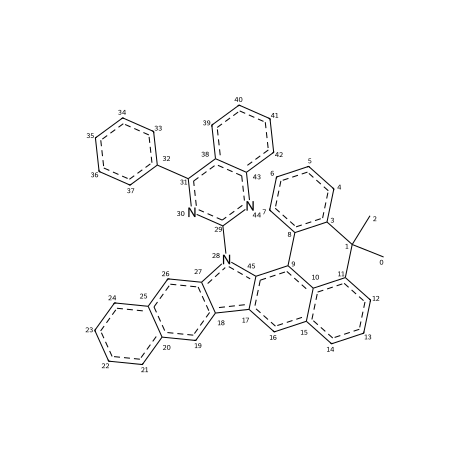 CC1(C)c2ccccc2-c2c3c1cccc3cc1c3cc4ccccc4cc3n(-c3nc(-c4ccccc4)c4ccccc4n3)c21